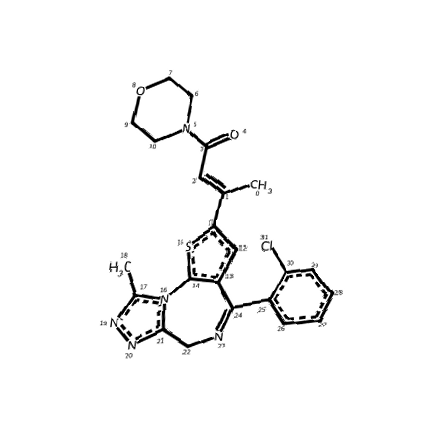 CC(=CC(=O)N1CCOCC1)c1cc2c(s1)-n1c(C)nnc1CN=C2c1ccccc1Cl